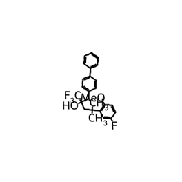 COc1ccc(F)cc1C(C)(C)CC(O)(Cc1ccc(-c2ccccc2)cc1)C(F)(F)F